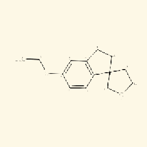 O=C(O)COc1ccc2c(c1)CCC21CCOC1